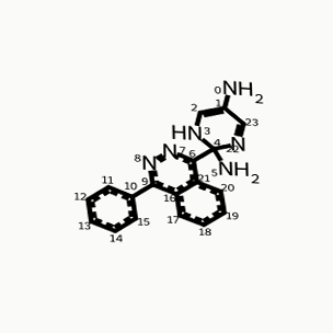 NC1=CNC(N)(c2nnc(-c3ccccc3)c3ccccc23)N=C1